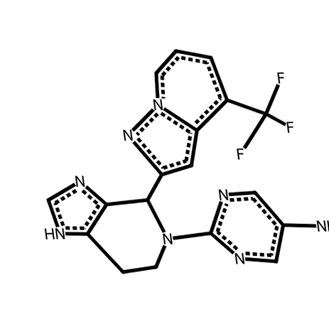 Nc1cnc(N2CCc3[nH]cnc3C2c2cc3c(C(F)(F)F)cccn3n2)nc1